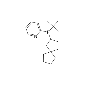 CC(C)(C)P(c1ccccn1)C1CCC2(CCCC2)C1